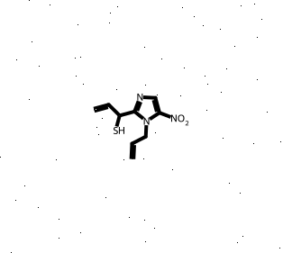 C=CCn1c([N+](=O)[O-])cnc1C(S)C=C